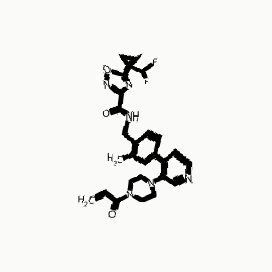 C=CC(=O)N1CCN(c2cnccc2-c2ccc(CNC(=O)c3noc(C4(C(F)F)CC4)n3)c(C)c2)CC1